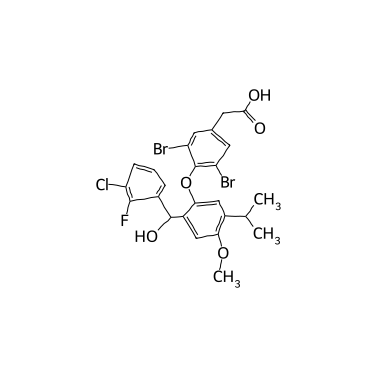 COc1cc(C(O)c2cccc(Cl)c2F)c(Oc2c(Br)cc(CC(=O)O)cc2Br)cc1C(C)C